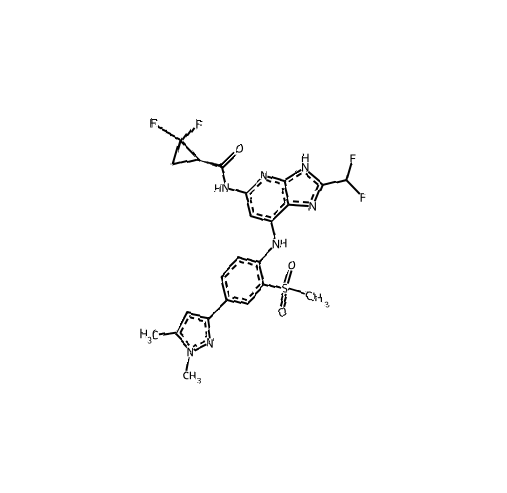 Cc1cc(-c2ccc(Nc3cc(NC(=O)[C@H]4CC4(F)F)nc4[nH]c(C(F)F)nc34)c(S(C)(=O)=O)c2)nn1C